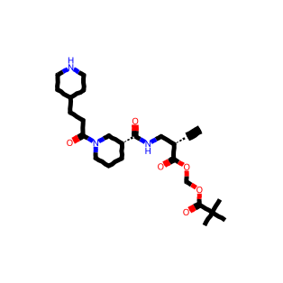 C#C[C@@H](CNC(=O)[C@@H]1CCCN(C(=O)CCC2CCNCC2)C1)C(=O)OCOC(=O)C(C)(C)C